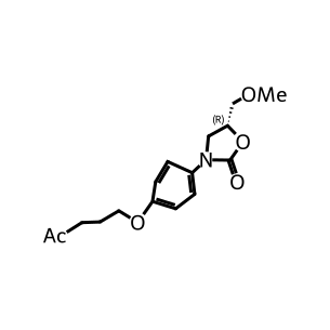 COC[C@H]1CN(c2ccc(OCCCC(C)=O)cc2)C(=O)O1